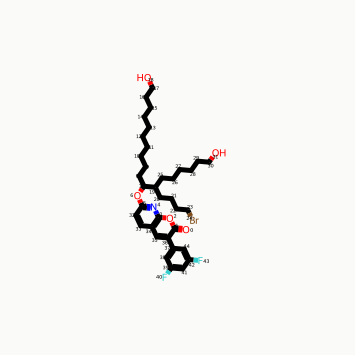 O=c1oc2nc(OC(CCCCCCCCCCO)C(CCCCBr)CCCCCCO)ccc2cc1-c1cc(F)cc(F)c1